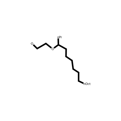 CCCCCCCCCCCCCCC(CCC)OCC[O]